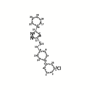 Clc1cccc(-c2ccc(CSc3nnc(-c4ccccc4)s3)cc2)c1